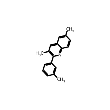 Cc1cccc(-c2nc3ccc(C)cc3cc2C)c1